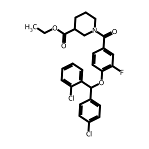 CCOC(=O)C1CCCN(C(=O)c2ccc(OC(c3ccc(Cl)cc3)c3ccccc3Cl)c(F)c2)C1